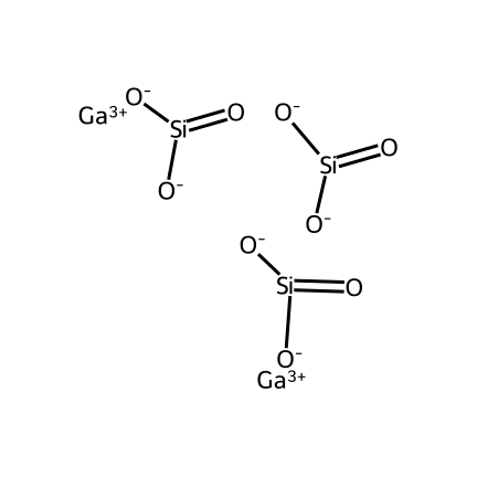 O=[Si]([O-])[O-].O=[Si]([O-])[O-].O=[Si]([O-])[O-].[Ga+3].[Ga+3]